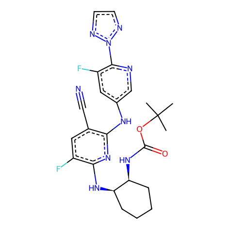 CC(C)(C)OC(=O)N[C@H]1CCCC[C@H]1Nc1nc(Nc2cnc(-n3nccn3)c(F)c2)c(C#N)cc1F